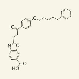 O=C(O)c1ccc2nc(CCC(=O)c3ccc(OCCCCCc4ccccc4)cc3)oc2c1